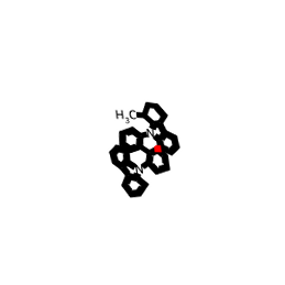 CC1CC=Cc2c1n(-c1ccccc1-c1ccccc1-n1c3ccccc3c3ccccc31)c1ccccc21